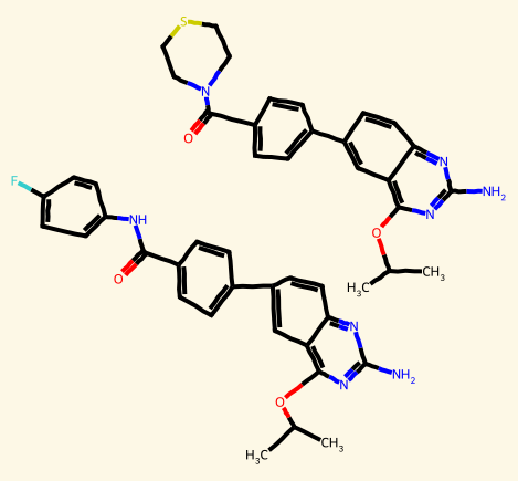 CC(C)Oc1nc(N)nc2ccc(-c3ccc(C(=O)N4CCSCC4)cc3)cc12.CC(C)Oc1nc(N)nc2ccc(-c3ccc(C(=O)Nc4ccc(F)cc4)cc3)cc12